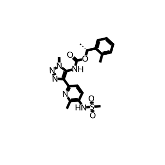 Cc1ccccc1[C@@H](C)OC(=O)Nc1c(-c2ccc(NS(C)(=O)=O)c(C)n2)nnn1C